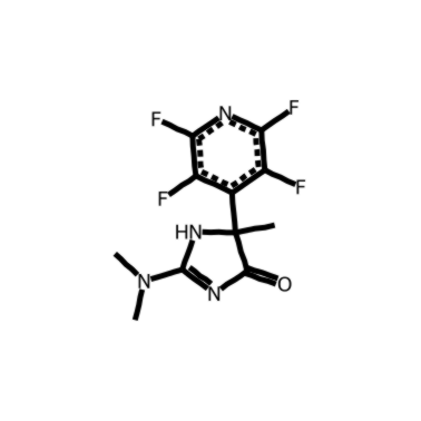 CN(C)C1=NC(=O)C(C)(c2c(F)c(F)nc(F)c2F)N1